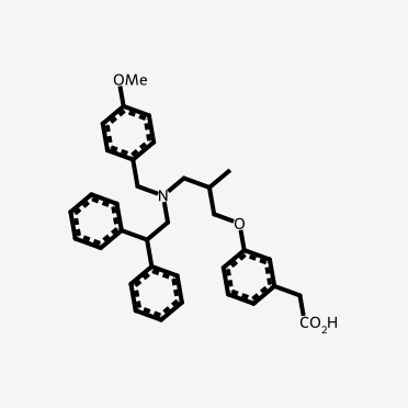 COc1ccc(CN(CC(C)COc2cccc(CC(=O)O)c2)CC(c2ccccc2)c2ccccc2)cc1